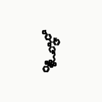 O=C(CCCN1CCC(OC(c2ccc(Cl)cc2)c2ccccn2)CC1)OS(=O)(=O)c1ccccc1